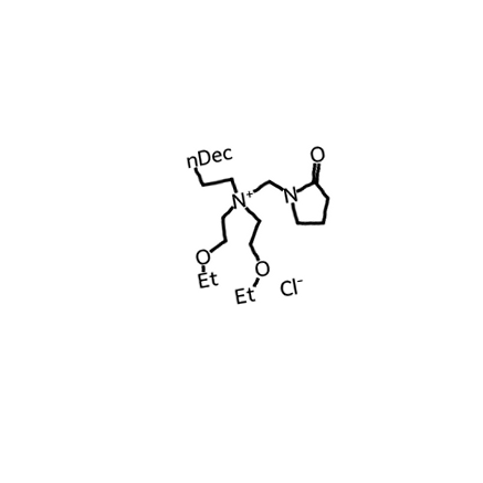 CCCCCCCCCCCC[N+](CCOCC)(CCOCC)CN1CCCC1=O.[Cl-]